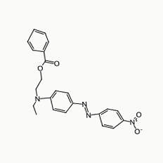 CCN(CCOC(=O)c1ccccc1)c1ccc(/N=N/c2ccc([N+](=O)[O-])cc2)cc1